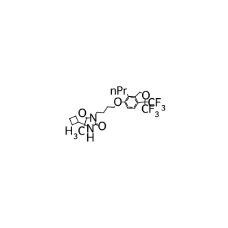 CCCc1c(OCCCCN2C(=O)NC(C)(C3CCC3)C2=O)ccc2c1COC2(C(F)(F)F)C(F)(F)F